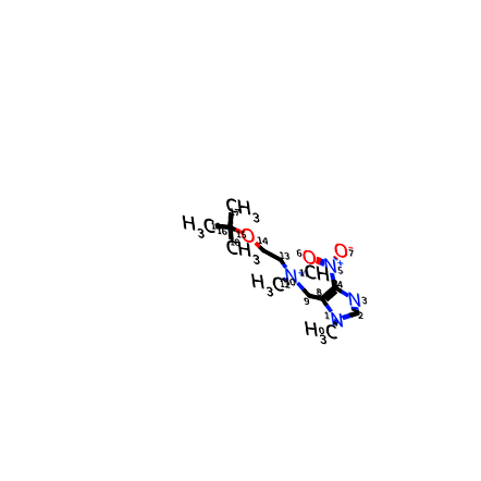 Cn1cnc([N+](=O)[O-])c1C[N+](C)(C)CCOC(C)(C)C